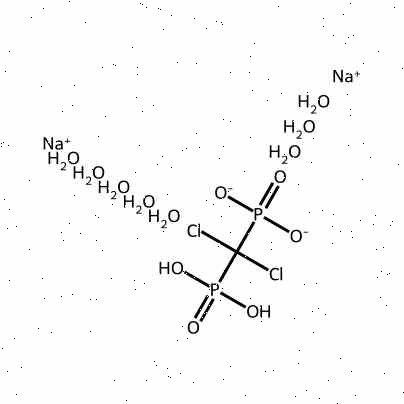 O.O.O.O.O.O.O.O.O=P([O-])([O-])C(Cl)(Cl)P(=O)(O)O.[Na+].[Na+]